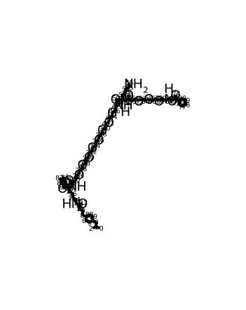 CC(C)Cc1ccc(CCCC(=O)NCCCCC(NC(=O)CCOCCOCCOCCOCCOCCOCCOCCOCCNC(=O)C(CCCCN)NC(=O)CCOCCOCCOCCNOC(=O)c2ccccc2)C(=O)OC(C)(C)C)cc1